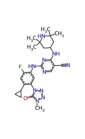 Cn1nnn(-c2cc(Nc3ncc(C#N)c(NC4CC(C)(C)NC(C)(C)C4)n3)c(F)cc2C2CC2)c1=O